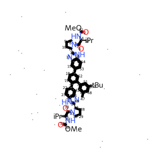 COC(=O)N[C@H](C(=O)N1CCC[C@H]1c1nc2cc(-c3ccc(-c4ccc5[nH]c([C@@H]6CCCN6C(=O)[C@@H](NC(=O)OC)C(C)C)nc5c4)c(-c4cc(C)cc(C(C)(C)C)c4)c3)ccc2[nH]1)C(C)C